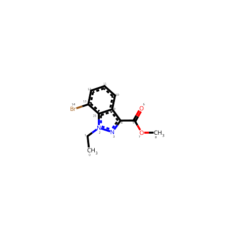 CCn1nc(C(=O)OC)c2cccc(Br)c21